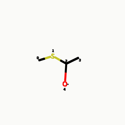 CSC(C)[O]